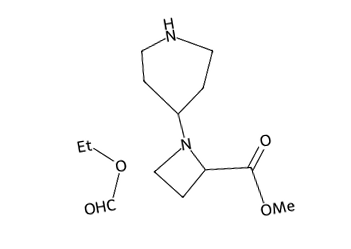 CCOC=O.COC(=O)C1CCN1C1CCNCC1